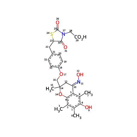 Cc1c(C)c2c(c(C)c1O)C(=NO)CC(C)(COc1ccc(CC3SC(=O)N(CC(=O)O)C3=O)cc1)O2